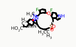 CNC1(c2cccc(CC(C)C(=O)O)c2)CCCC(C)(C)CS(=O)(=O)CCc2c(c(F)cc3[nH]ccc23)Oc2ccc(F)c(c2)-c2nc1nn2C